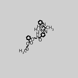 COCCOC(=O)c1ccccc1OCCNC(=O)c1ccc2nc(C(C)c3nc4ccccc4[nH]3)n(C)c2c1